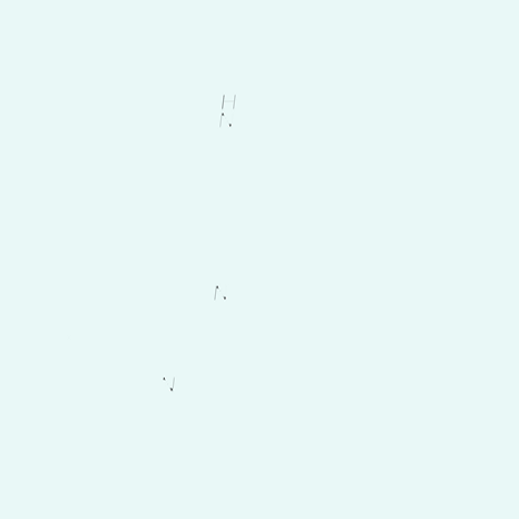 C=CCN(c1ccccn1)C1CCNCC1